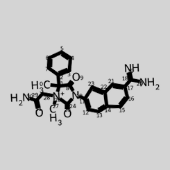 CC1(c2ccccc2)C(=O)N(c2ccc3ccc(C(=N)N)cc3c2)C(=O)[N+]1(C)CC(N)=O